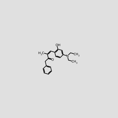 CCN(CC)c1ccc(C=C(C)C(=O)Cc2ccccc2)c(O)c1